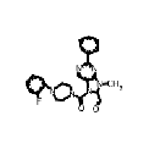 CN1c2nc(-c3ccccc3)ncc2N(C(=O)N2CCN(c3ccccc3F)CC2)C1C=O